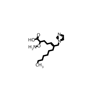 CCCCCCCC(=CCCC(ON)C(=O)O)Cn1ccnc1